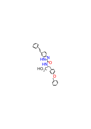 O=C(N[C@@H](Cc1ccc(OCc2ccccc2)cc1)C(=O)O)c1nc2ccc(C=Cc3ccccc3)cc2[nH]1